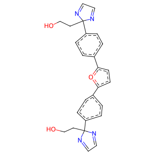 OCCC1(c2ccc(-c3ccc(-c4ccc(C5(CCO)N=CC=N5)cc4)o3)cc2)N=CC=N1